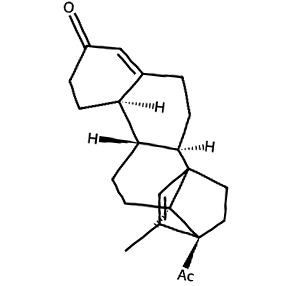 CC(=O)[C@@]12CCC3(C=C1C)[C@@H]1CCC4=CC(=O)CC[C@@H]4[C@H]1CC[C@@]32C